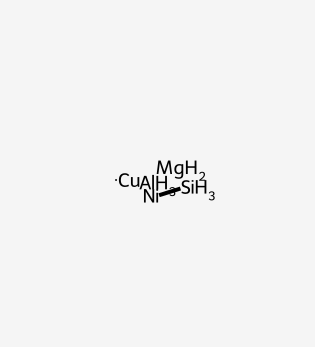 [AlH3].[Cu].[MgH2].[SiH3][Ni]